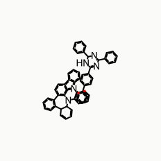 C1=CC2c3ccccc3-c3ccc4c5ccccc5n(-c5ccccc5)c4c3N(c3cccc(-c4ccc(C5=NC(c6ccccc6)=NC(c6ccccc6)N5)cc4)c3)C2C=C1